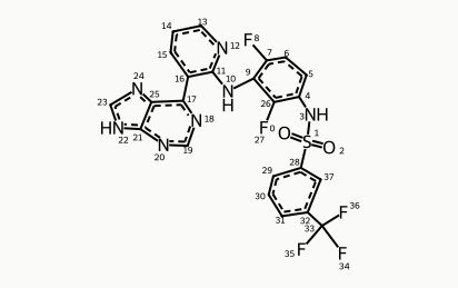 O=S(=O)(Nc1ccc(F)c(Nc2ncccc2-c2ncnc3[nH]cnc23)c1F)c1cccc(C(F)(F)F)c1